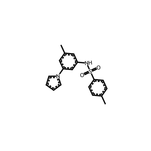 Cc1ccc(S(=O)(=O)Nc2cc(C)cc(-n3cccc3)c2)cc1